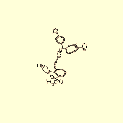 CS(=O)(=O)c1cccc(C=C2CN(C(c3ccc(Cl)cc3)c3ccc(Cl)cc3)C2)c1C1CCNC1